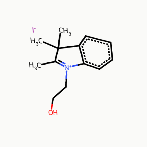 CC1=[N+](CCO)c2ccccc2C1(C)C.[I-]